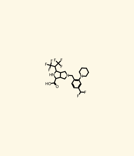 O=C(O)C1NC(C(C(F)(F)F)C(F)(F)F)C2CN(Cc3ccc(C(F)F)cc3N3CCCCC3)CC12